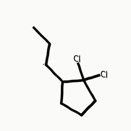 CC[CH]C1CCCC1(Cl)Cl